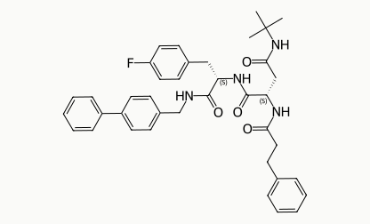 CC(C)(C)NC(=O)C[C@H](NC(=O)CCc1ccccc1)C(=O)N[C@@H](Cc1ccc(F)cc1)C(=O)NCc1ccc(-c2ccccc2)cc1